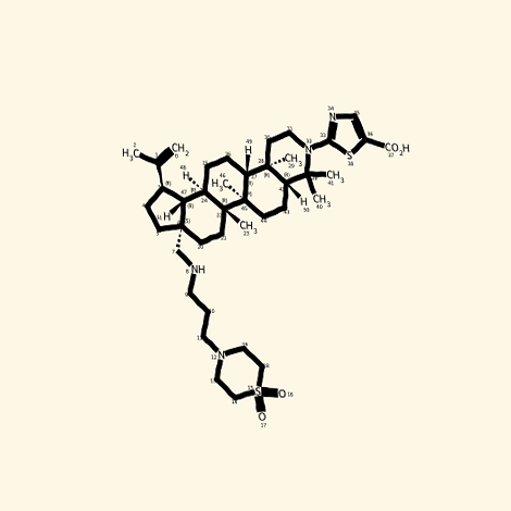 C=C(C)[C@@H]1CC[C@]2(CNCCCN3CCS(=O)(=O)CC3)CC[C@]3(C)[C@H](CC[C@@H]4[C@@]5(C)CCN(c6ncc(C(=O)O)s6)C(C)(C)[C@@H]5CC[C@]43C)[C@@H]12